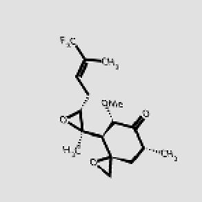 CO[C@@H]1C(=O)[C@H](C)C[C@]2(CO2)[C@H]1[C@@]1(C)O[C@@H]1C/C=C(\C)C(F)(F)F